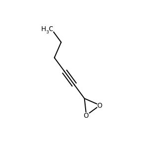 CCCC#CC1OO1